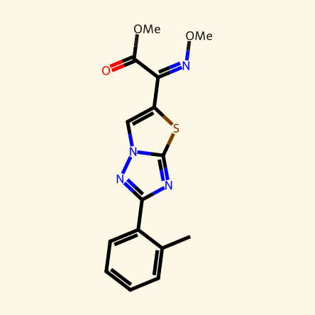 CO/N=C(\C(=O)OC)c1cn2nc(-c3ccccc3C)nc2s1